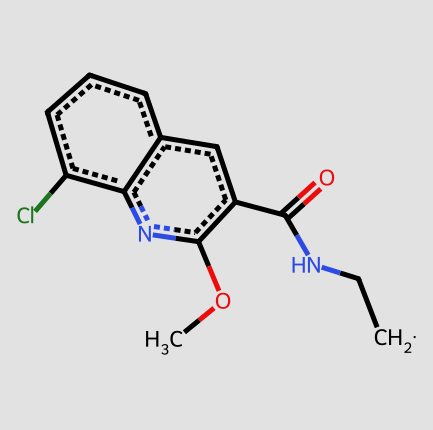 [CH2]CNC(=O)c1cc2cccc(Cl)c2nc1OC